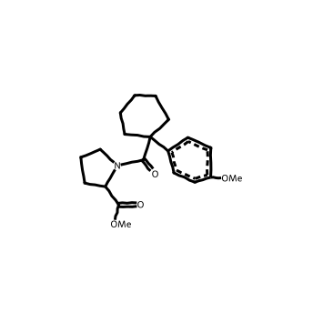 COC(=O)C1CCCN1C(=O)C1(c2ccc(OC)cc2)CCCCC1